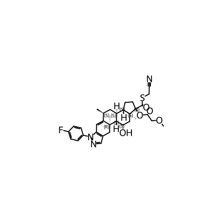 COCC(=O)O[C@]1(C(=O)SCC#N)CC[C@H]2[C@@H]3C[C@H](C)C4=Cc5c(cnn5-c5ccc(F)cc5)C[C@]4(C)[C@H]3[C@@H](O)C[C@@]21C